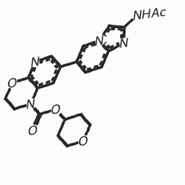 CC(=O)Nc1cn2cc(-c3cnc4c(c3)N(C(=O)OC3CCOCC3)CCO4)ccc2n1